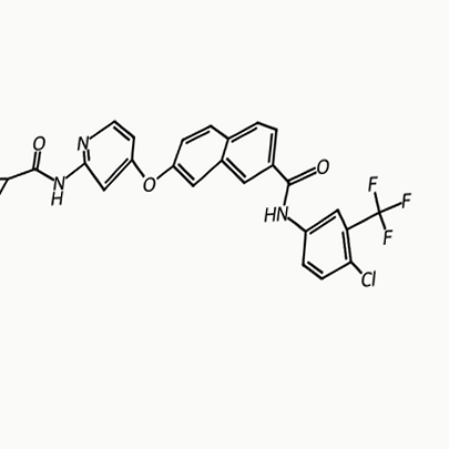 O=C(Nc1ccc(Cl)c(C(F)(F)F)c1)c1ccc2ccc(Oc3ccnc(NC(=O)C4CC4)c3)cc2c1